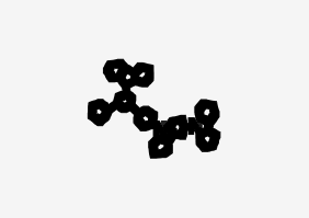 c1ccc(-c2cc(-c3ccc(-n4c5ccccc5c5cc(-n6c7ccccc7c7ccccc76)ccc54)cc3)cc(C3c4ccccc4-c4ccccc43)c2)cc1